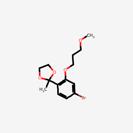 COCCCOc1cc(Br)ccc1C1(C)OCCO1